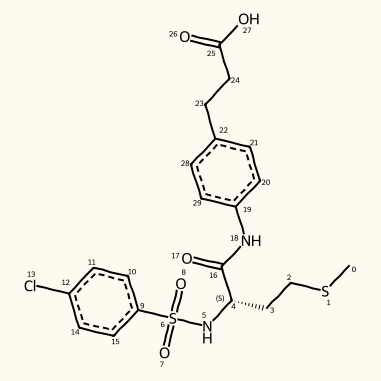 CSCC[C@H](NS(=O)(=O)c1ccc(Cl)cc1)C(=O)Nc1ccc(CCC(=O)O)cc1